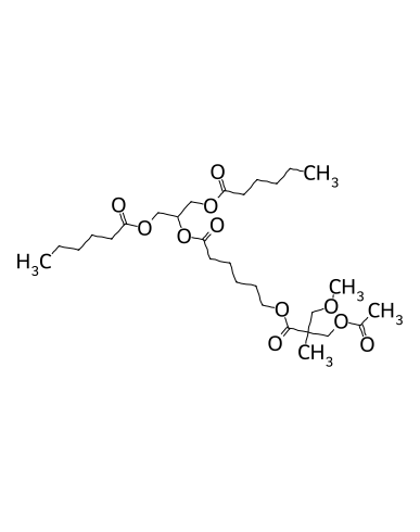 CCCCCC(=O)OCC(COC(=O)CCCCC)OC(=O)CCCCCOC(=O)C(C)(COC)COC(C)=O